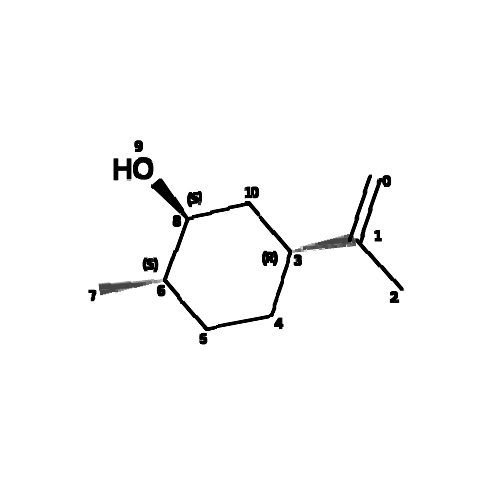 C=C(C)[C@@H]1CC[C@H](C)[C@@H](O)C1